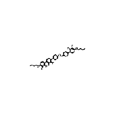 CCCCOc1ccc(C2=CCC(COC3CC=C(c4ccc(-c5ccc(OCCCC)c(F)c5F)c(F)c4F)CC3)CC2)c(F)c1F